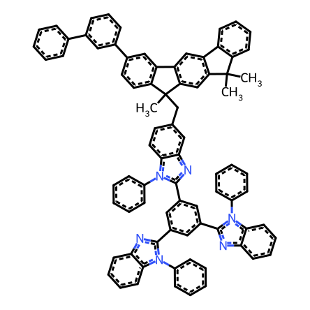 CC1(C)c2ccccc2-c2cc3c(cc21)C(C)(Cc1ccc2c(c1)nc(-c1cc(-c4nc5ccccc5n4-c4ccccc4)cc(-c4nc5ccccc5n4-c4ccccc4)c1)n2-c1ccccc1)c1ccc(-c2cccc(-c4ccccc4)c2)cc1-3